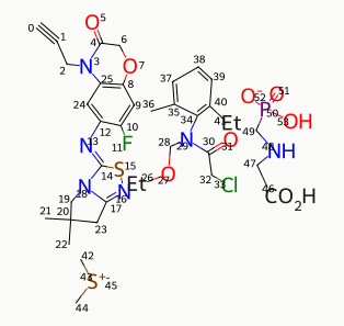 C#CCN1C(=O)COc2cc(F)c(/N=c3\snc4n3CC(C)(C)C4)cc21.CCOCN(C(=O)CCl)c1c(C)cccc1CC.C[S+](C)C.O=C(O)CNCP(=O)([O-])O